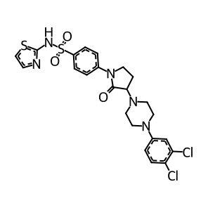 O=C1C(N2CCN(c3ccc(Cl)c(Cl)c3)CC2)CCN1c1ccc(S(=O)(=O)Nc2nccs2)cc1